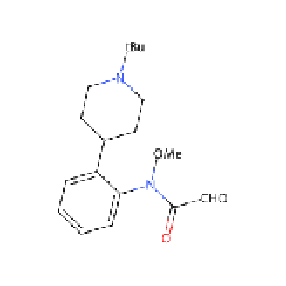 CON(C(=O)C=O)c1ccccc1C1CCN(C(C)(C)C)CC1